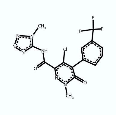 Cn1nnnc1NC(=O)c1nn(C)c(=O)c(-c2cccc(C(F)(F)F)c2)c1Cl